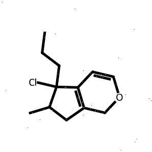 CCCC1(Cl)C2=C(COC=C2)CC1C